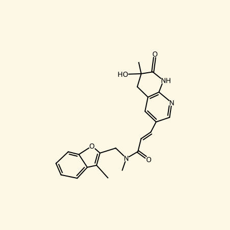 Cc1c(CN(C)C(=O)C=Cc2cnc3c(c2)CC(C)(O)C(=O)N3)oc2ccccc12